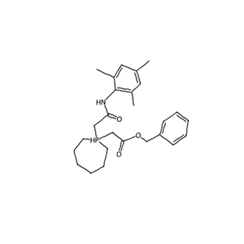 Cc1cc(C)c(NC(=O)C[PH]2(CC(=O)OCc3ccccc3)CCCCCC2)c(C)c1